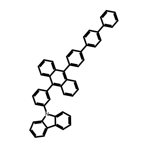 c1ccc(-c2ccc(-c3ccc(-c4c5ccccc5c(-c5cccc(-n6c7ccccc7c7ccccc76)c5)c5ccccc45)cc3)cc2)cc1